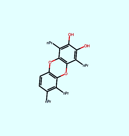 CCCc1ccc2c(c1CCC)Oc1c(CCC)c(O)c(O)c(CCC)c1O2